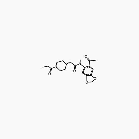 CCC(=O)N1CCC(CC(=O)Nc2cc3c(cc2C(C)=O)OCO3)CC1